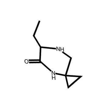 CCC1NCC2(CC2)NC1=O